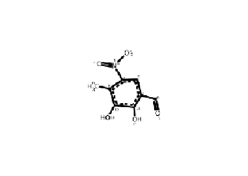 Cc1c([N+](=O)[O-])cc(C=O)c(O)c1O